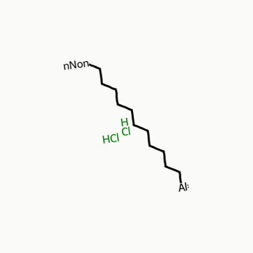 CCCCCCCCCCCCCCCCCCC[CH2][Al].Cl.Cl